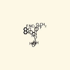 C=C(F)C(=O)N1CCN(c2nc(OCCN3C[C@@H]4C[C@H]3CO4)nc3c2CCN(c2cccc4ccc(F)c(Cl)c24)C3)C[C@@H]1CC#N